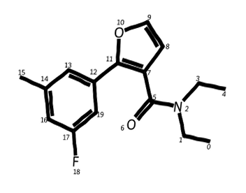 CCN(CC)C(=O)c1ccoc1-c1cc(C)cc(F)c1